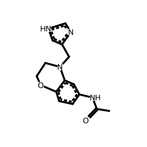 CC(=O)Nc1ccc2c(c1)N(Cc1c[nH]cn1)CCO2